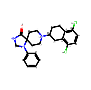 O=C1NCN(c2ccccc2)C12CCN(C1CCc3c(Cl)ccc(Cl)c3C1)CC2